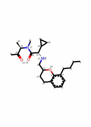 CCCCc1cccc2c1OC(CN[C@H](C(=O)N(C)[C@H](C)C(C)=O)C1CC1)CC2